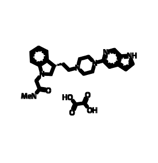 CNC(=O)CN1C[C@@H](CCN2CCN(c3cc4cc[nH]c4cn3)CC2)c2ccccc21.O=C(O)C(=O)O